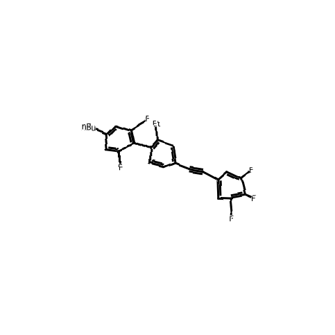 CCCCc1cc(F)c(-c2ccc(C#Cc3cc(F)c(F)c(F)c3)cc2CC)c(F)c1